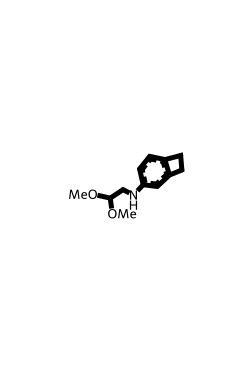 COC(CNc1ccc2c(c1)CC2)OC